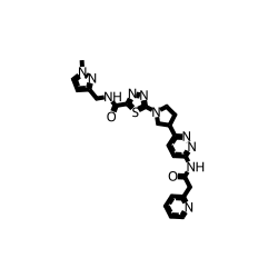 Cn1ccc(CNC(=O)c2nnc(N3CCC(c4ccc(NC(=O)Cc5ccccn5)nn4)C3)s2)n1